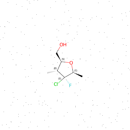 C[C@@H]1O[C@H](CO)[C@@H](C)[C@]1(F)Cl